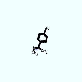 C/N=C(\C)c1ccc(C(C)=O)cc1